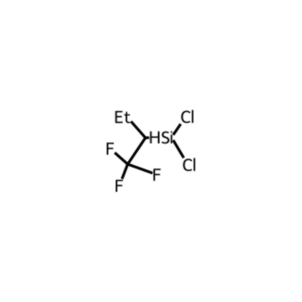 CCC([SiH](Cl)Cl)C(F)(F)F